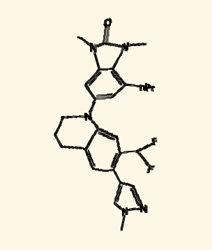 CCCc1cc(N2CCCc3cc(-c4cnn(C)c4)c(C(F)F)cc32)cc2c1n(C)c(=O)n2C